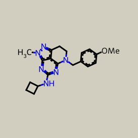 COc1ccc(CN2CCc3nn(C)c4nc(NC5CCC5)nc2c34)cc1